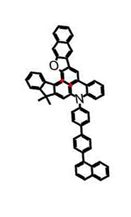 CC1(C)c2ccccc2-c2ccc(N(c3ccc(-c4ccc(-c5cccc6ccccc56)cc4)cc3)c3ccccc3-c3ccc4oc5cc6ccccc6cc5c4c3)cc21